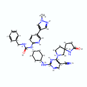 Cn1cc(-c2ccc(N(C(=O)NCc3ccccc3)[C@H]3CC[C@H](Nc4ncc(C#N)c(N5CCC6(CCC(=O)N6)C5)n4)CC3)nc2)cn1